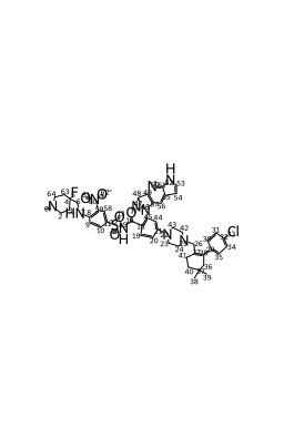 CN1CCC(F)(CNc2ccc(S(=O)(=O)NC(=O)c3ccc(N4CCN(CC5=C(c6ccc(Cl)cc6)CC(C)(C)CC5)CC4)cc3-n3ncc4nc5[nH]ccc5cc43)cc2[N+](=O)[O-])CC1